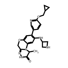 CC1C(=O)NN=C2COc3cc(-c4ccc(OCC5CC5)nc4)c(NC4CNC4)cc3N21